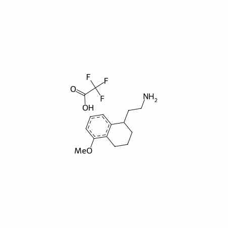 COc1cccc2c1CCCC2CCN.O=C(O)C(F)(F)F